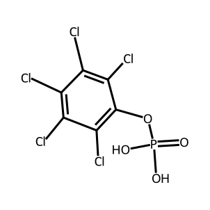 O=P(O)(O)Oc1c(Cl)c(Cl)c(Cl)c(Cl)c1Cl